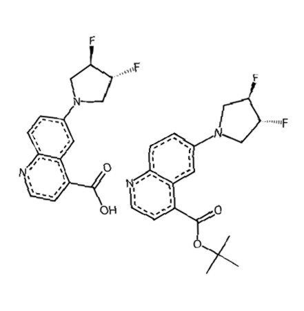 CC(C)(C)OC(=O)c1ccnc2ccc(N3C[C@@H](F)[C@H](F)C3)cc12.O=C(O)c1ccnc2ccc(N3C[C@@H](F)[C@H](F)C3)cc12